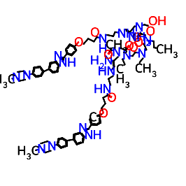 CCCN(CC(=O)N(CCC)CC(=O)N(CCC)CC(=O)N(CC(=O)O)C/C(N)=C/NCCCNC(=O)CCCOc1ccc(-c2nc3cc(-c4ccc(N5CCN(C)CC5)cc4)ccc3[nH]2)cc1)C(=O)CN(C/C(N)=C/NCCCNC(=O)CCCOc1ccc(-c2nc3cc(-c4ccc(N5CCN(C)CC5)cc4)ccc3[nH]2)cc1)C(C)=O